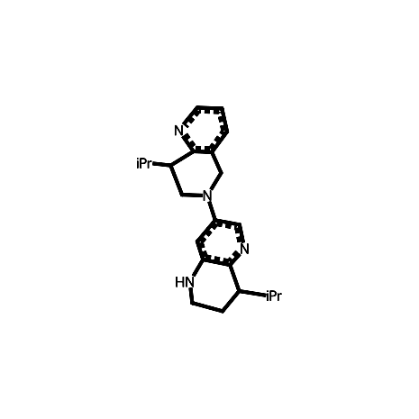 CC(C)C1CN(c2cnc3c(c2)NCCC3C(C)C)Cc2cccnc21